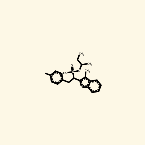 CCC(C)OP(=O)(O)C(Cc1ccc(F)cc1)c1sc2ccccc2c1C